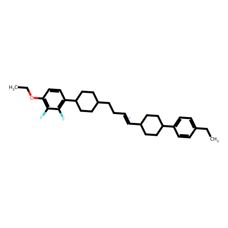 CCOc1ccc(C2CCC(CC/C=C/C3CCC(c4ccc(CC)cc4)CC3)CC2)c(F)c1F